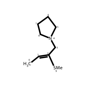 CC=C(CN1CCCC1)SC